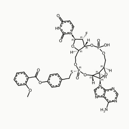 COc1ccccc1C(=O)Oc1ccc(CS[P@]2(=O)OC[C@H]3O[C@@H](n4ccc(=O)[nH]c4=O)[C@H](F)[C@@H]3OP(=O)(O)OC[C@H]3O[C@@H](n4cnc5c(N)ncnc54)[C@H](O2)[C@@H]3F)cc1